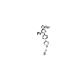 CCc1cc(OC)ccc1-c1ccc(C2CCC(CCCCF)CC2)cc1